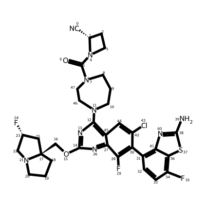 N#C[C@@H]1CCN1C(=O)N1CCCN(c2nc(OC[C@@]34CCCN3C[C@H](F)C4)nc3c(F)c(-c4ccc(F)c5sc(N)nc45)c(Cl)cc23)CC1